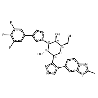 Cc1nc2ccc(-n3cnnc3[C@@H]3O[C@H](CO)[C@H](O)[C@H](n4cc(-c5cc(F)c(F)c(F)c5)cn4)[C@H]3O)cc2s1